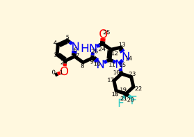 COc1cccnc1Cc1nc2c(cnn2C2CCC(F)(F)CC2)c(=O)[nH]1